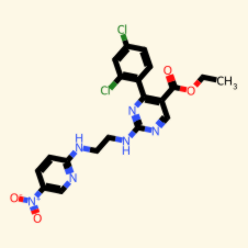 CCOC(=O)c1cnc(NCCNc2ccc([N+](=O)[O-])cn2)nc1-c1ccc(Cl)cc1Cl